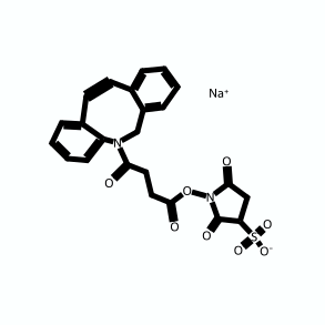 O=C(CCC(=O)N1Cc2ccccc2C#Cc2ccccc21)ON1C(=O)CC(S(=O)(=O)[O-])C1=O.[Na+]